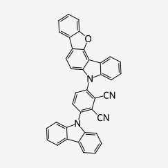 N#Cc1c(-n2c3ccccc3c3ccccc32)ccc(-n2c3ccccc3c3c4oc5ccccc5c4ccc32)c1C#N